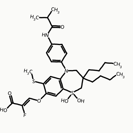 CCCCC1(CCCC)CN(c2ccc(NC(=O)C(C)C)cc2)c2cc(SC)c(O/C=C(\F)C(=O)O)cc2S(O)(O)C1